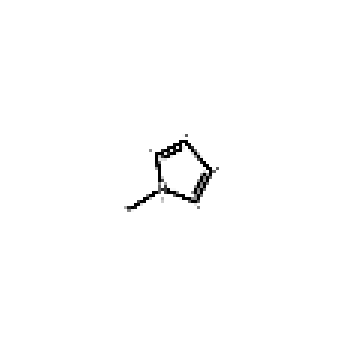 C[N+]1C=CC=C1